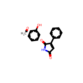 C=O.O=C1C=C(c2ccccc2)C(=O)N1.Oc1ccccc1